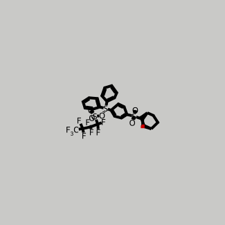 O=S(=O)(c1ccc(S(OS(=O)(=O)C(F)(F)C(F)(F)C(F)(F)C(F)(F)F)(c2ccccc2)c2ccccc2)cc1)C1CC2CCC1CC2